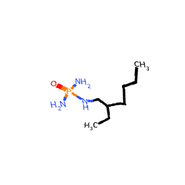 CCCCC(CC)CNP(N)(N)=O